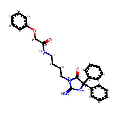 N=C1NC(c2ccccc2)(c2ccccc2)C(=O)N1CCCCNC(=O)COc1ccccc1